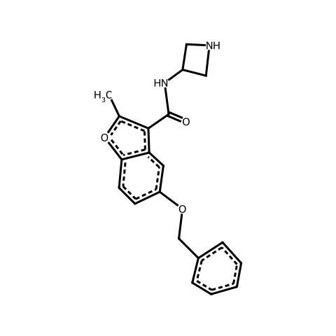 Cc1oc2ccc(OCc3ccccc3)cc2c1C(=O)NC1CNC1